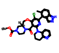 Cc1ccc2[nH]ncc2c1-c1nc(N2CCCc3ncccc32)c2c(c1Cl)OC[C@H]1CN(C(=O)OC(C)(C)C)CCN1C2=O